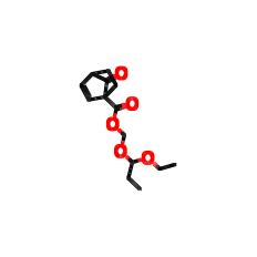 CCOC(CC)OCOC(=O)C12C=CC(CC1)C2=O